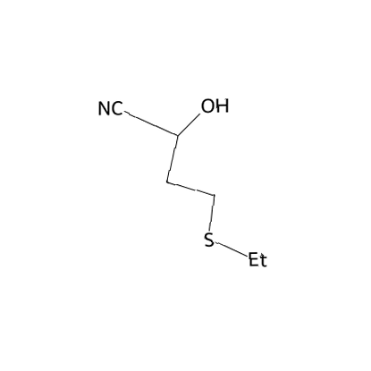 CCSCCC(O)C#N